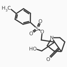 Cc1ccc(S(=O)(=O)OCC2(CO)C(=O)C3CCN2CC3)cc1